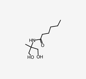 CCCCCC(=O)NC(C)(CO)CO